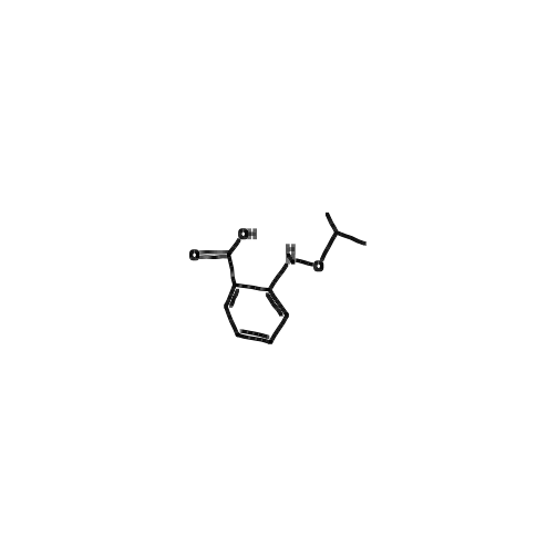 CC(C)ONc1ccccc1C(=O)O